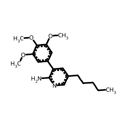 CCCCCc1cnc(N)c(-c2cc(OC)c(OC)c(OC)c2)c1